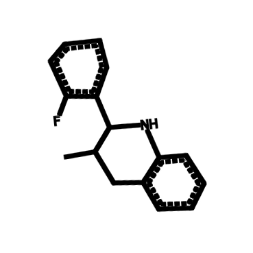 CC1Cc2ccccc2NC1c1ccccc1F